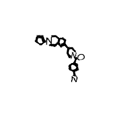 N#Cc1ccc(C(=O)N2CCC(c3ccc4c(c3)CCN(C3CCCC3)CC4)CC2)cc1